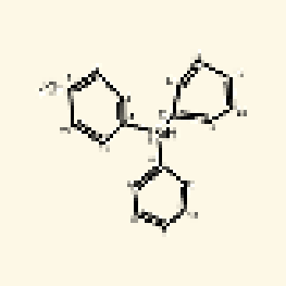 [KH].c1ccc([SiH](c2ccccc2)c2ccccc2)cc1